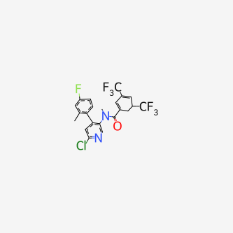 Cc1cc(F)ccc1-c1cc(Cl)ncc1N(C)C(=O)C1=CC(C(F)(F)F)=CC(C(F)(F)F)C1